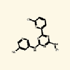 CC(C)Nc1nc(Nc2cncc(C#N)c2)nc(-c2cccc(Cl)n2)n1